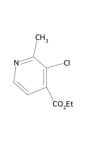 CCOC(=O)c1ccnc(C)c1Cl